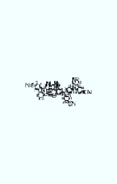 N#Cc1ccc2c(c1)c1ccccc1n2-c1cnc2c(c1)C1(c3ccccc3Oc3cc(-n4c5ccc(C#N)cc5c5cc(-n6c7ccc(C#N)cc7c7ccncc76)ccc54)ccc31)c1cccnc1-2